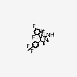 C=C1[C@@H](c2ccc(C(C)(F)F)cc2)[C@@](C)(c2c(F)cc(F)cc2F)NC(=N)N1C